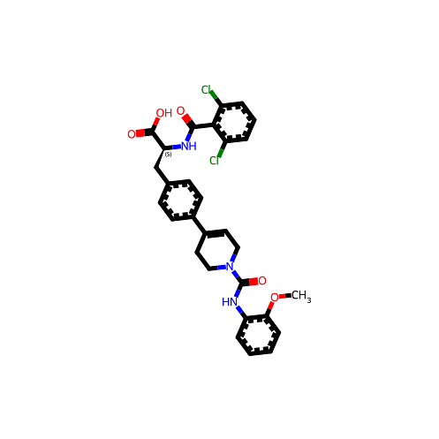 COc1ccccc1NC(=O)N1CC=C(c2ccc(C[C@H](NC(=O)c3c(Cl)cccc3Cl)C(=O)O)cc2)CC1